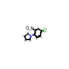 O=[N+]([O-])c1cc(Cl)ccc1N1C[CH]CC1